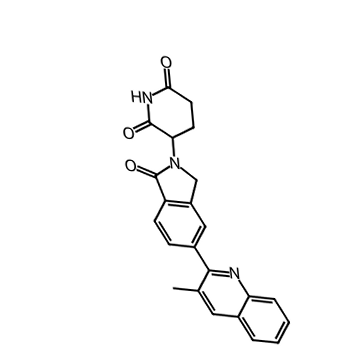 Cc1cc2ccccc2nc1-c1ccc2c(c1)CN(C1CCC(=O)NC1=O)C2=O